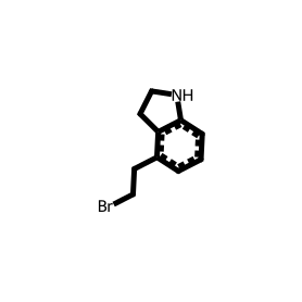 BrCCc1cccc2c1CCN2